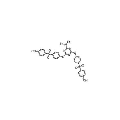 CCN(CC)c1nc(Oc2ccc(S(=O)(=O)c3ccc(O)cc3)cc2)nc(Oc2ccc(S(=O)(=O)c3ccc(O)cc3)cc2)n1